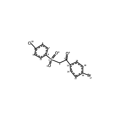 O=C(CS(=O)(=O)c1ccc(Cl)cc1)c1ccc(Br)cc1